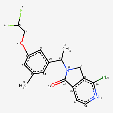 Cc1cc(OCC(F)F)cc(C(C)N2Cc3c(ccnc3Cl)C2=O)c1